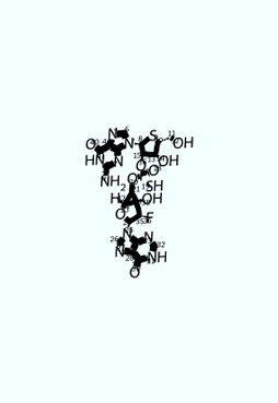 Nc1nc2c(ncn2[C@@H]2S[C@H](CO)[C@@H](O)[C@H]2O[P@](=O)(S)OC2[C@H]3O[C@@H](n4cnc5c(=O)[nH]cnc54)[C@@H](F)[C@@]23O)c(=O)[nH]1